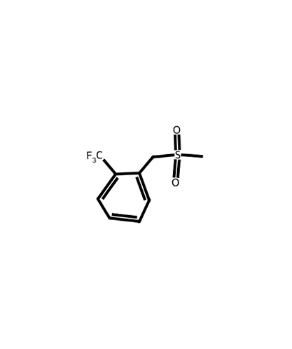 CS(=O)(=O)Cc1ccccc1C(F)(F)F